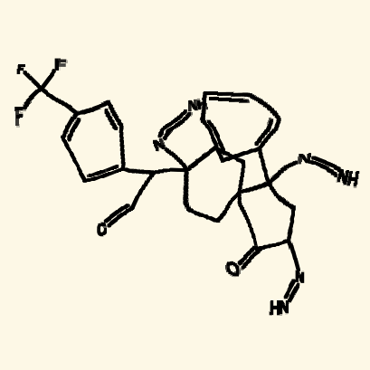 N=NC1CC(N=N)(c2ccccc2)C2(CCC(N=N)(C(C=O)c3ccc(C(F)(F)F)cc3)CC2)C1=O